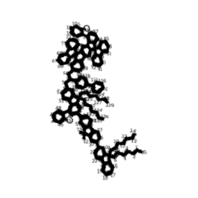 CCCCCCCC1(CCCCCCC)c2ccccc2-c2ccc(-c3ccc4c(c3)C(C)(C)c3cc(-c5cc6c(c7c5oc5ccccc57)-c5ccc(CC(Cc7ccc8c(c7)C7(c9ccccc9-c9ccccc97)c7cc9c(cc7-8)C7(c8ccccc8-c8ccccc87)c7ccc8oc%10ccccc%10c8c7-9)c7ccc(-c8ccccc8)cc7)cc5C6(CCCCCCC)CCCCCCC)ccc3-4)cc21